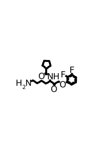 NCCCCC(NC(=O)C1CCCC1)C(=O)COc1cccc(F)c1F